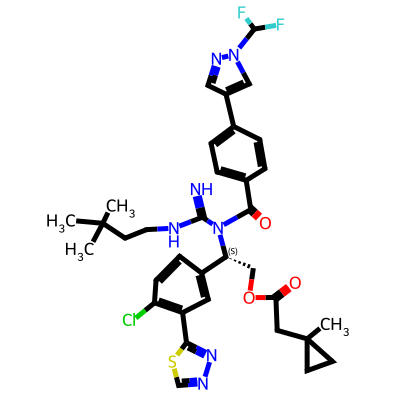 CC(C)(C)CCNC(=N)N(C(=O)c1ccc(-c2cnn(C(F)F)c2)cc1)[C@H](COC(=O)CC1(C)CC1)c1ccc(Cl)c(-c2nncs2)c1